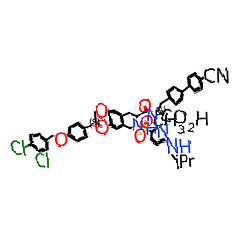 Cc1nc(NCC(C)C)ccc1S(=O)(=O)N1Cc2cc3c(cc2CC1C(=O)N[C@@H](Cc1ccc(-c2ccc(C#N)cc2)cc1)C(=O)O)OC[C@H](c1ccc(OCc2ccc(Cl)c(Cl)c2)cc1)O3